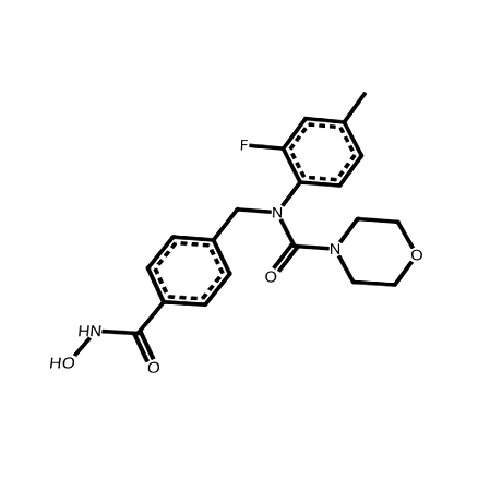 Cc1ccc(N(Cc2ccc(C(=O)NO)cc2)C(=O)N2CCOCC2)c(F)c1